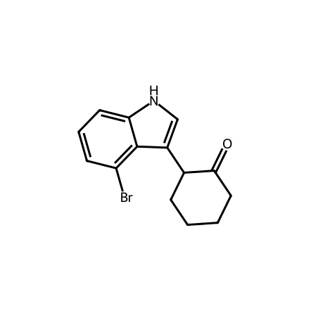 O=C1CCCCC1c1c[nH]c2cccc(Br)c12